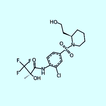 C[C@@](O)(C(=O)Nc1ccc(S(=O)(=O)N2CCCC[C@@H]2CCO)cc1Cl)C(F)(F)F